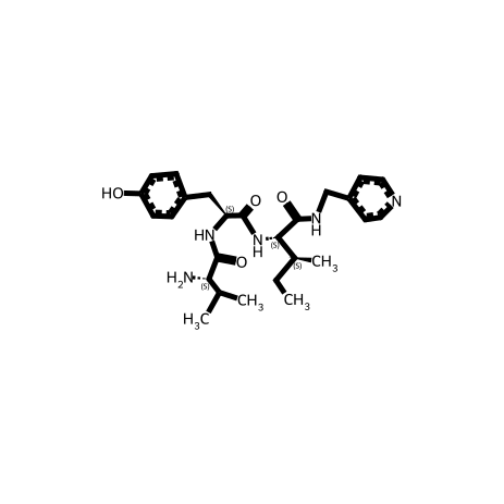 CC[C@H](C)[C@H](NC(=O)[C@H](Cc1ccc(O)cc1)NC(=O)[C@@H](N)C(C)C)C(=O)NCc1ccncc1